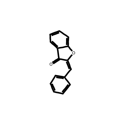 O=C1/C(=C\c2ccccc2)Oc2ccccc21